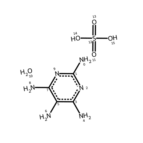 Nc1nc(N)c(N)c(N)n1.O.O=S(=O)(O)O